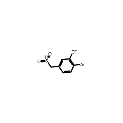 CC(=O)c1ccc(C[SH](=O)=O)cc1C(F)(F)F